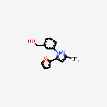 OCc1cccc(-n2nc(C(F)(F)F)cc2-c2ccco2)c1